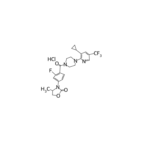 CC1COC(=O)N1c1ccc(C(=O)N2CCN(c3ncc(C(F)(F)F)cc3C3CC3)CC2)c(F)c1.Cl